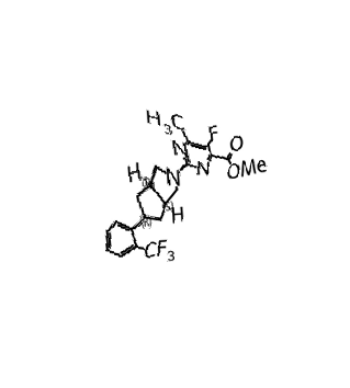 COC(=O)c1nc(N2C[C@H]3C[C@@H](c4ccccc4C(F)(F)F)C[C@H]3C2)nc(C)c1F